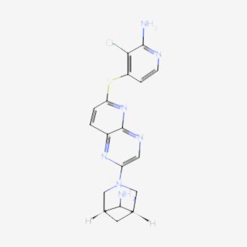 Nc1nccc(Sc2ccc3nc(N4C[C@H]5C[C@@H](C4)C5N)cnc3n2)c1Cl